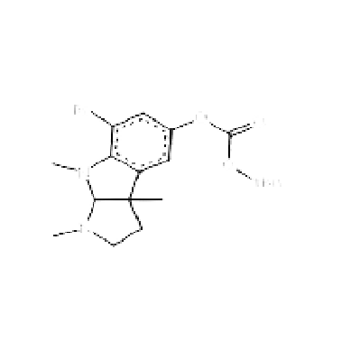 CN1CCC2(C)c3cc(OC(=O)OC(C)(C)C)cc(Br)c3N(C)C12